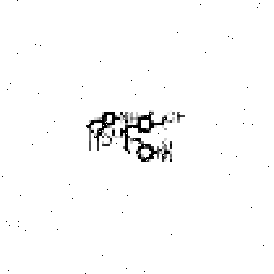 CCN(Cc1cccc([N+](=O)[O-])c1)C(=O)C(Nc1ccc2cc[nH]c(=O)c2c1)c1ccc([C@@H](C)CO)c(C)c1